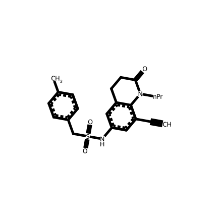 C#Cc1cc(NS(=O)(=O)Cc2ccc(C)cc2)cc2c1N(CCC)C(=O)CC2